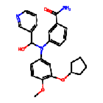 COc1ccc(N(c2cccc(C(N)=O)c2)C(O)c2cccnc2)cc1OC1CCCC1